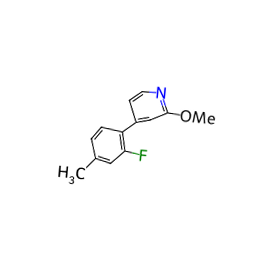 COc1cc(-c2ccc(C)cc2F)ccn1